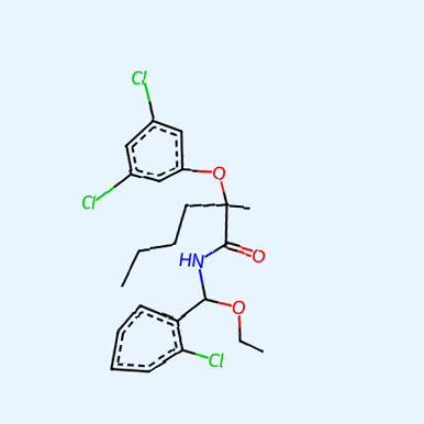 CCCCC(C)(Oc1cc(Cl)cc(Cl)c1)C(=O)NC(OCC)c1ccccc1Cl